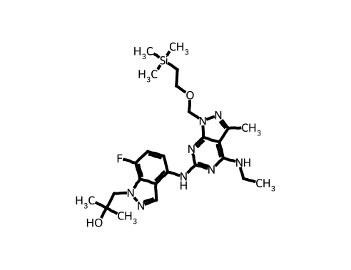 CCNc1nc(Nc2ccc(F)c3c2cnn3CC(C)(C)O)nc2c1c(C)nn2COCC[Si](C)(C)C